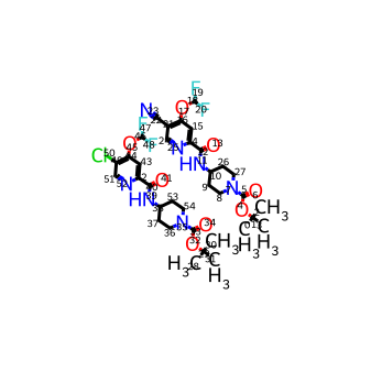 CC(C)(C)OC(=O)N1CCC(NC(=O)c2cc(OC(F)F)c(C#N)cn2)CC1.CC(C)(C)OC(=O)N1CCC(NC(=O)c2cc(OC(F)F)c(Cl)cn2)CC1